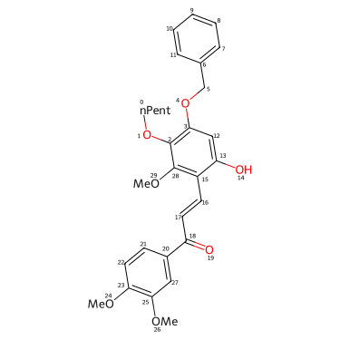 CCCCCOc1c(OCc2ccccc2)cc(O)c(C=CC(=O)c2ccc(OC)c(OC)c2)c1OC